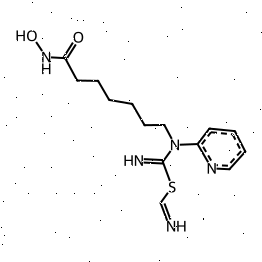 N=CSC(=N)N(CCCCCCC(=O)NO)c1ccccn1